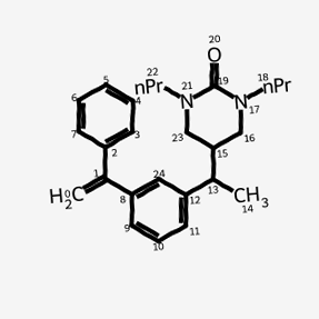 C=C(c1ccccc1)c1cccc(C(C)C2CN(CCC)C(=O)N(CCC)C2)c1